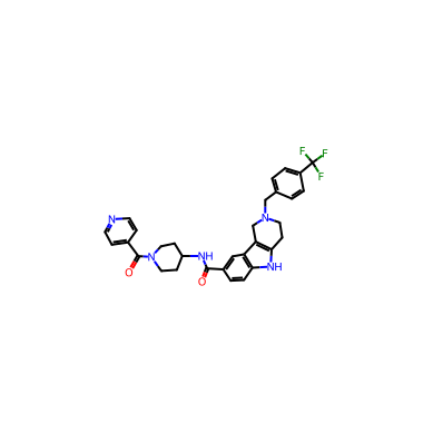 O=C(NC1CCN(C(=O)c2ccncc2)CC1)c1ccc2[nH]c3c(c2c1)CN(Cc1ccc(C(F)(F)F)cc1)CC3